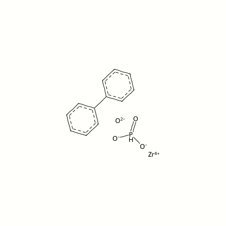 O=[PH]([O-])[O-].[O-2].[Zr+4].c1ccc(-c2ccccc2)cc1